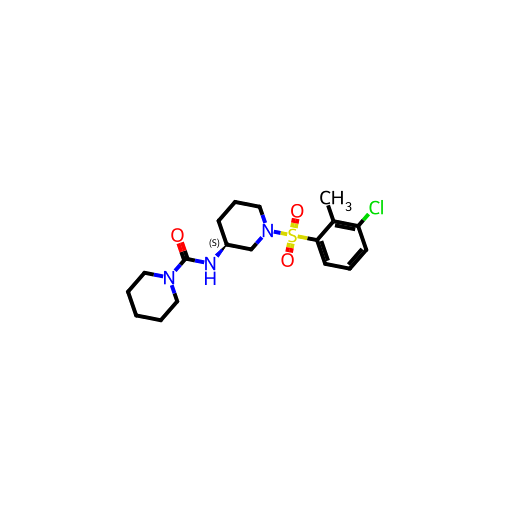 Cc1c(Cl)cccc1S(=O)(=O)N1CCC[C@H](NC(=O)N2CCCCC2)C1